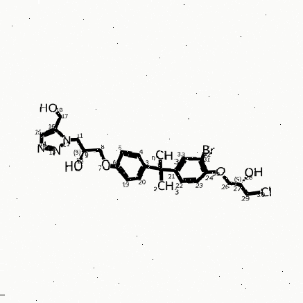 CC(C)(c1ccc(OC[C@@H](O)Cn2nncc2CO)cc1)c1ccc(OC[C@H](O)CCl)c(Br)c1